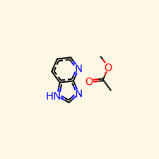 COC(C)=O.c1cnc2nc[nH]c2c1